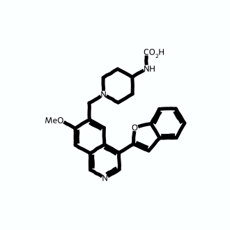 COc1cc2cncc(-c3cc4ccccc4o3)c2cc1CN1CCC(NC(=O)O)CC1